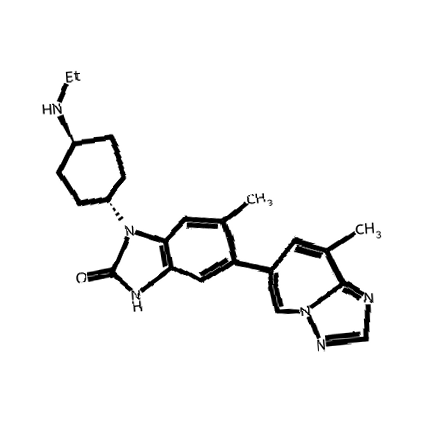 CCN[C@H]1CC[C@H](n2c(=O)[nH]c3cc(-c4cc(C)c5ncnn5c4)c(C)cc32)CC1